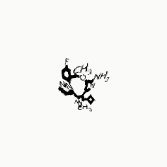 C[C@H]1Oc2cc(cnc2N)-c2c(nn(C)c2C2CCC2)Cc2ccnn2-c2ccc(F)cc21